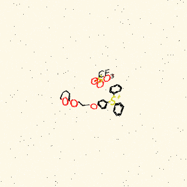 O=S(=O)([O-])C(F)(F)F.c1ccc([S+](c2ccccc2)c2ccc(OCCCOC3CCCCO3)cc2)cc1